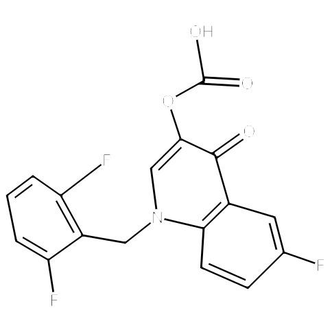 O=C(O)Oc1cn(Cc2c(F)cccc2F)c2ccc(F)cc2c1=O